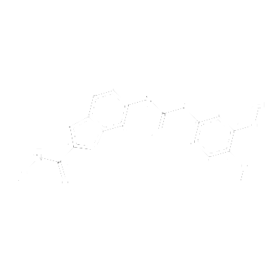 CCOc1ccc(CC(=O)Nc2ccc3cc(C(=O)NO)sc3c2)cc1OCC